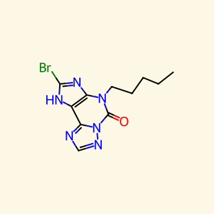 CCCCCn1c(=O)n2ncnc2c2[nH]c(Br)nc21